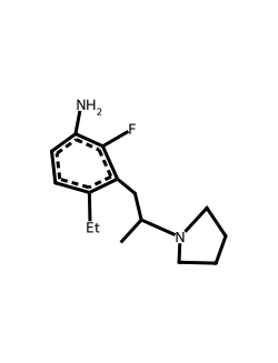 CCc1ccc(N)c(F)c1CC(C)N1CCCC1